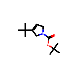 CC(C)(C)OC(=O)N1CC=C(C(C)(C)C)C1